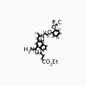 CCOC(=O)CCCN1CCc2cc(CC(C)NCCOc3ccccc3OCC(F)(F)F)cc(C(N)=O)c21